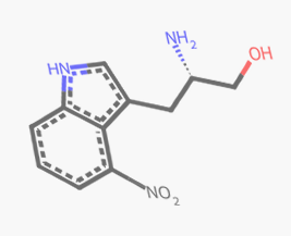 N[C@H](CO)Cc1c[nH]c2cccc([N+](=O)[O-])c12